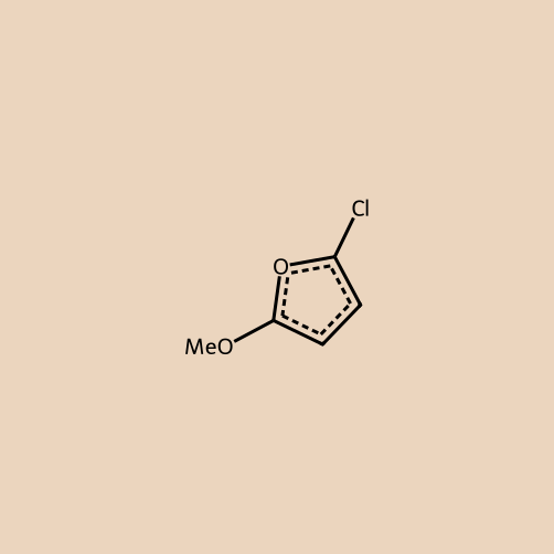 COc1ccc(Cl)o1